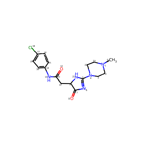 CN1CCN(C2=NC(=O)C(CC(=O)Nc3ccc(Cl)cc3)N2)CC1